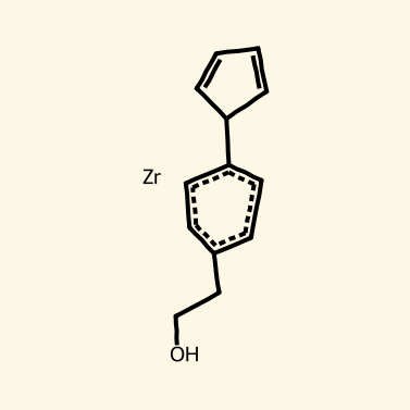 OCCc1ccc(C2C=CC=C2)cc1.[Zr]